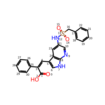 O=C(O)C(=Cc1c[nH]c2ncc(NS(=O)(=O)Cc3ccccc3)cc12)c1ccccc1